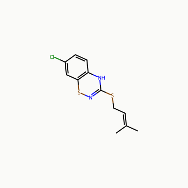 CC(C)=CCSC1=NSc2cc(Cl)ccc2N1